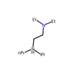 CCC[SiH](CCN(CC)CC)C(C)C